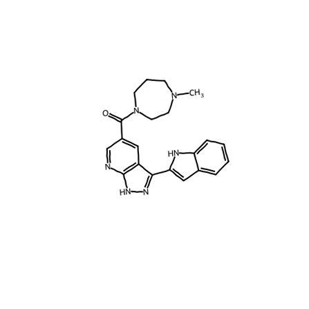 CN1CCCN(C(=O)c2cnc3[nH]nc(-c4cc5ccccc5[nH]4)c3c2)CC1